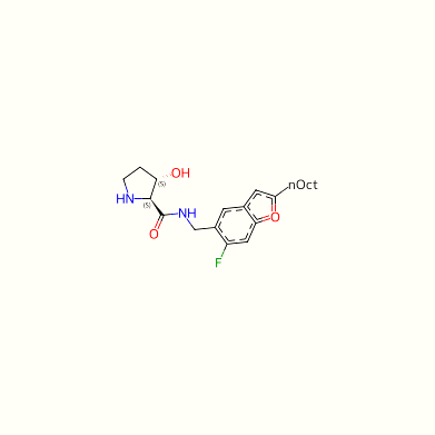 CCCCCCCCc1cc2cc(CNC(=O)[C@H]3NCC[C@@H]3O)c(F)cc2o1